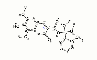 COc1ccccc1C(OC)(OC)OC(=O)/C(=C/c1cc(OC)c(O)c(OC)c1)C(C)=O